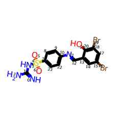 N=C(N)NS(=O)(=O)c1ccc(/N=C/c2cc(Br)cc(Br)c2O)cc1